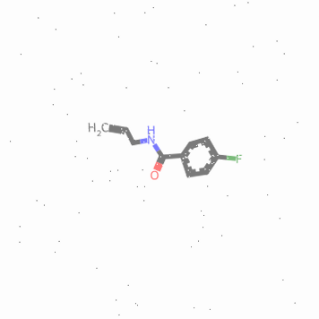 C=CCNC(=O)c1ccc(F)cc1